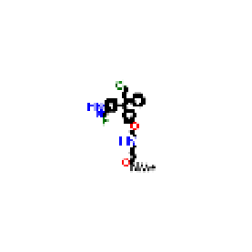 CNC(=O)/C=C/CNCCOc1ccc(/C(=C(/CCCl)c2ccccc2)c2ccc3[nH]nc(F)c3c2)cc1